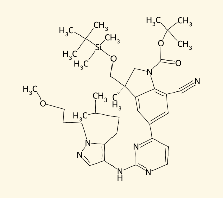 COCCCn1ncc(Nc2nccc(-c3cc(C#N)c4c(c3)[C@@](C)(CO[Si](C)(C)C(C)(C)C)CN4C(=O)OC(C)(C)C)n2)c1CCC(C)C